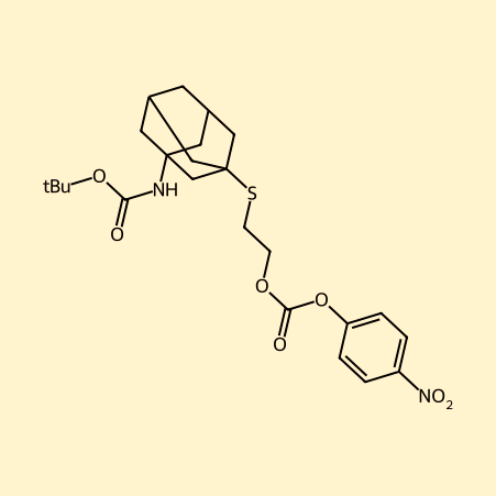 CC(C)(C)OC(=O)NC12CC3CC(C1)CC(SCCOC(=O)Oc1ccc([N+](=O)[O-])cc1)(C3)C2